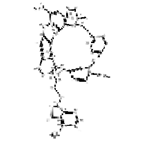 COc1ccc2cc1Oc1ccc(cc1)C[C@H]1c3c(cc(OC)c4c3Oc3cc5c(cc3O4)CCN(CCCn3cnc4c(N)ncnc43)[C@H]5C2)CCN1C